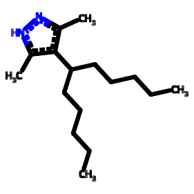 CCCCCC(CCCCC)c1c(C)n[nH]c1C